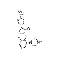 CN1CCN(c2cccc(F)c2CC2CCN(c3ccc(C(C)(C)O)nc3)C2=O)CC1